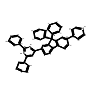 c1ccc(-c2cc(-c3ccc4c(c3)C(c3ccccc3)(c3ccccc3)c3cc(-c5ccncc5)ccc3-4)nc(-c3ccccc3)n2)cc1